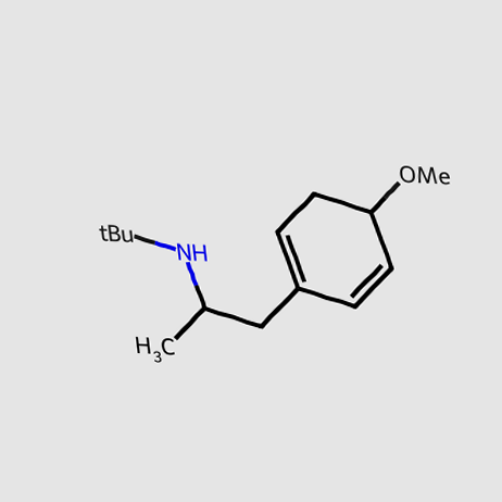 COC1C=CC(CC(C)NC(C)(C)C)=CC1